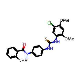 COc1cc(OC)c(NC(=S)Nc2ccc(NC(=O)c3ccccc3NC(C)=O)cc2)cc1Cl